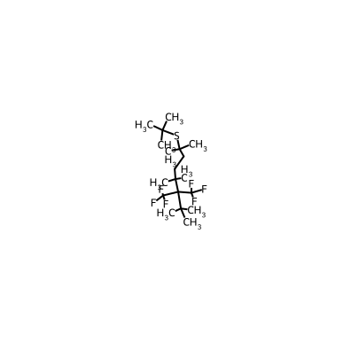 CC(C)(C)SC(C)(C)CCC(C)(C)C(C(C)(C)C)(C(F)(F)F)C(F)(F)F